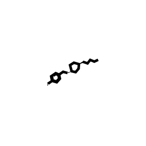 CCCCC[C@H]1CC[C@H](CCc2ccc(I)cc2)CC1